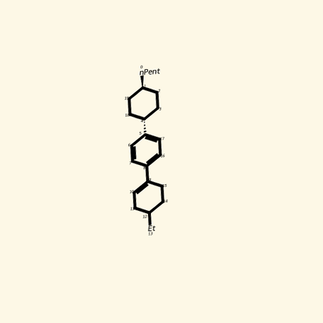 CCCCC[C@H]1CC[C@H](c2ccc(C3=CCC(CC)CC3)cc2)CC1